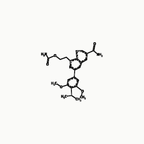 COc1cc(-c2cc3cc(C(N)=O)ccc3c(CCOC(N)=O)n2)cc(OC)c1C(C)C